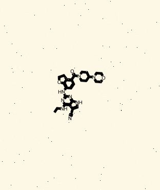 CCNc1nc(Nc2ccc(C(=O)N3CCC(N4CCOCC4)CC3)c3c2OCC3)nc2[nH]cc(C#N)c12